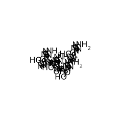 [N-]=[N+]=N[C@@H]1C[C@@H](CO)O[C@H]1n1cnc2c(N)ncnc21.[N-]=[N+]=N[C@@H]1[C@H](O)[C@@H](CO)O[C@H]1n1cnc2c(N)ncnc21.[N-]=[N+]=N[C@H]1C[C@H](n2cnc3c(N)ncnc32)O[C@@H]1CO.[N-]=[N+]=N[C@H]1[C@@H](O)[C@H](n2cnc3c(N)ncnc32)O[C@@H]1CO